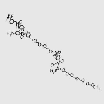 COCCOCCOCCOCCOCCOCCOCCN(C)CCN(CC=O)C(=O)c1ccc(S(=O)(=O)NCCOCCOCCOCCOCCCc2cccc(C(=O)Nc3ccc(N)cc3-c3cc(C(=O)NCc4cccc(C(F)(F)F)c4)ccn3)c2)cc1